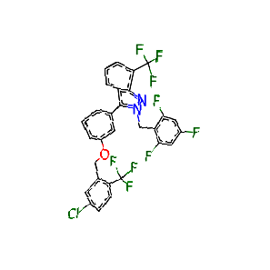 Fc1cc(F)c(Cn2nc3c(C(F)(F)F)cccc3c2-c2cccc(OCc3cc(Cl)ccc3C(F)(F)F)c2)c(F)c1